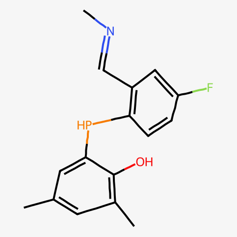 C/N=C/c1cc(F)ccc1Pc1cc(C)cc(C)c1O